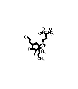 CCCC1(C)C(F)=C(F)C(CCCl)=CC1N(F)CCC([N+](=O)[O-])[N+](=O)[O-]